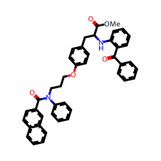 COC(=O)C(Cc1ccc(OCCCN(C(=O)c2ccc3ccccc3c2)c2ccccc2)cc1)Nc1ccccc1C(=O)c1ccccc1